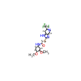 COc1ccc(NC(=O)CSc2nc3cnc(C(F)(F)F)cc3[nH]2)cc1OC